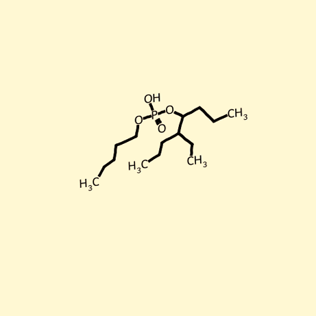 CCCCCOP(=O)(O)OC(CCC)C(CC)CCC